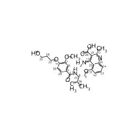 COc1cc(C(=O)N[C@H](COc2cccc3nc(C)c(C(=O)O)c(N)c23)C(C)C)ccc1OCCCO